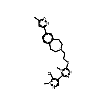 Cc1cc(-c2ccc3c(c2)CCN(CCSc2nnc(-c4cnn(C)c4Cl)n2C)CC3)no1